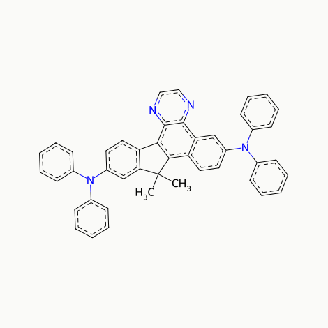 CC1(C)c2cc(N(c3ccccc3)c3ccccc3)ccc2-c2c1c1ccc(N(c3ccccc3)c3ccccc3)cc1c1nccnc21